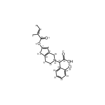 C/C=C(\C)C(=O)Oc1cc2c(s1)CCN(C(C(=O)O)c1ccccc1Cl)C2